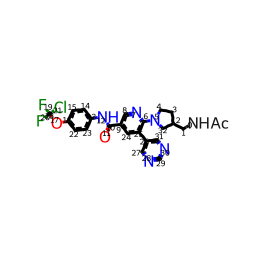 CC(=O)NCC1CCN(c2ncc(C(=O)Nc3ccc(OC(F)(F)Cl)cc3)cc2-c2cncnc2)C1